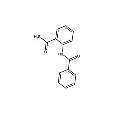 BC(=O)c1ccccc1BC(=O)c1ccccc1